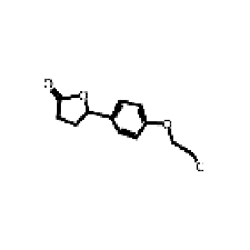 O=C1CCC(c2ccc(OCCCl)cc2)O1